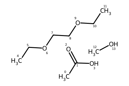 CC(=O)O.CCOCCOCC.CO